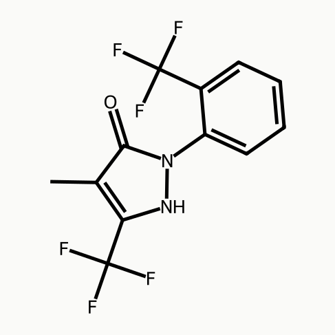 Cc1c(C(F)(F)F)[nH]n(-c2ccccc2C(F)(F)F)c1=O